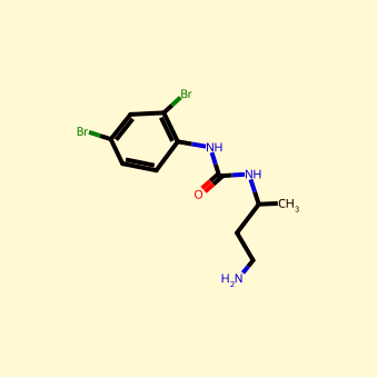 CC(CCN)NC(=O)Nc1ccc(Br)cc1Br